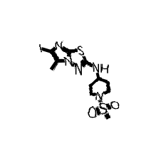 Cc1c(I)nc2sc(NC3CCN(S(C)(=O)=O)CC3)nn12